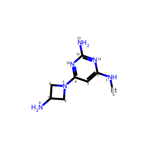 CCNc1cc(N2CC(N)C2)nc(N)n1